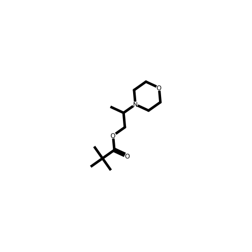 CC(COC(=O)C(C)(C)C)N1CCOCC1